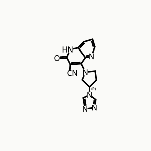 N#Cc1c(N2CC[C@@H](n3cnnc3)C2)c2ncccc2[nH]c1=O